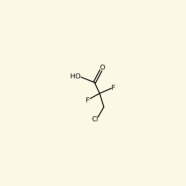 O=C(O)C(F)(F)CCl